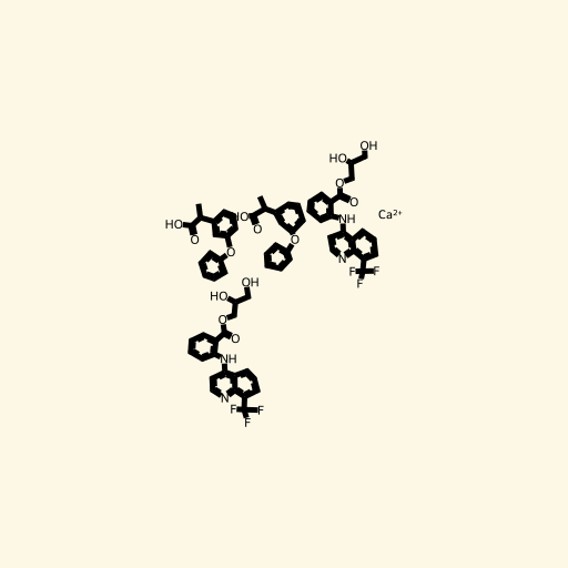 CC(C(=O)O)c1cccc(Oc2ccccc2)c1.CC(C(=O)O)c1cccc(Oc2ccccc2)c1.O=C(OCC(O)CO)c1ccccc1Nc1ccnc2c(C(F)(F)F)cccc12.O=C(OCC(O)CO)c1ccccc1Nc1ccnc2c(C(F)(F)F)cccc12.[Ca+2]